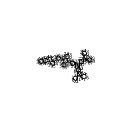 c1ccc(N(c2ccccc2)c2ccc(N(c3ccc(-c4c5ccccc5c(-c5cccc(-c6cccc7c6ccc6cc8ccccc8cc67)c5)c5ccccc45)cc3)c3ccc(N(c4ccccc4)c4ccccc4)cc3)cc2)cc1